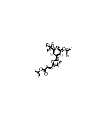 CC(C)OC(=O)C=Cn1cnc(-c2cc(OC(C)C)nc(C(F)(F)F)c2)n1